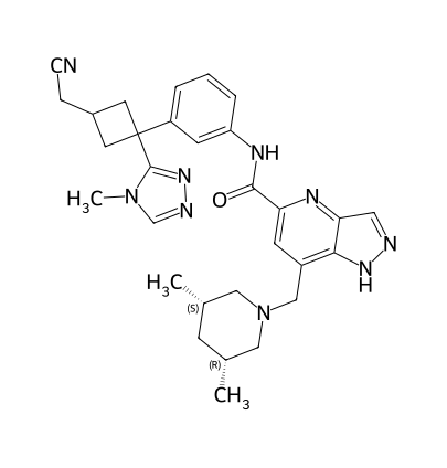 C[C@@H]1C[C@H](C)CN(Cc2cc(C(=O)Nc3cccc(C4(c5nncn5C)CC(CC#N)C4)c3)nc3cn[nH]c23)C1